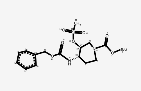 CC(C)(C)OC(=O)N1CC[C@H](NC(=O)OCc2ccccc2)[C@@H](OS(C)(=O)=O)C1